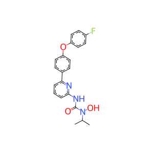 CC(C)N(O)C(=O)Nc1cccc(-c2ccc(Oc3ccc(F)cc3)cc2)n1